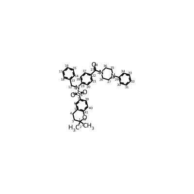 CC1(C)CCc2cc(S(=O)(=O)N(Cc3ccccc3)c3ccc(C(=O)N4CCN(c5ccccc5)CC4)cc3)ccc2O1